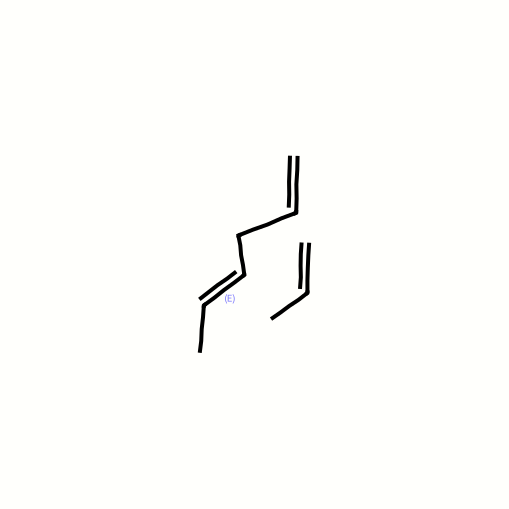 C=CC.C=CC/C=C/C